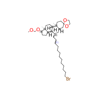 COCO[C@H]1CC[C@H]2[C@@H]3[C@H](C/C=C/CCCCCCCCCCBr)C[C@H]4CC5(CC[C@]4(C)[C@H]3CC[C@]12C)OCCO5